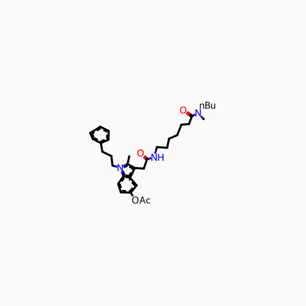 CCCCN(C)C(=O)CCCCCCNC(=O)Cc1c(C)n(CCCc2ccccc2)c2ccc(OC(C)=O)cc12